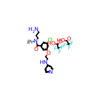 CC(C)N(CCCN)C(=O)c1cc(Cl)cc(OCCNc2ccncc2)c1.O=C(O)C(F)(F)F.O=C(O)C(F)(F)F